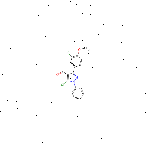 COc1ccc(-c2nn(-c3ccccc3)c(Cl)c2C=O)cc1F